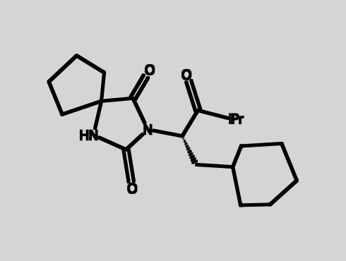 CC(C)C(=O)[C@H](CC1CCCCC1)N1C(=O)NC2(CCCC2)C1=O